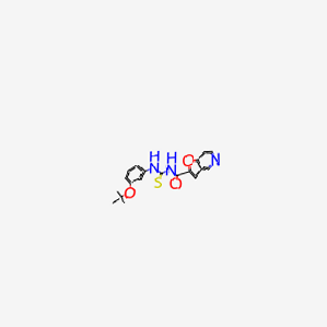 CC(C)(C)Oc1cccc(NC(=S)NC(=O)c2cc3cnccc3o2)c1